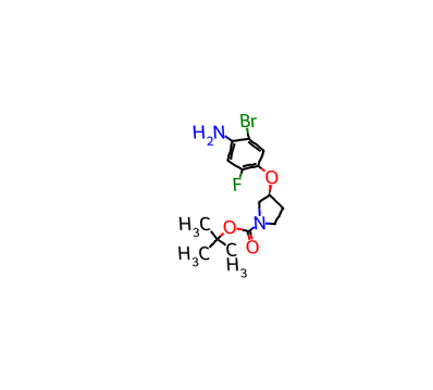 CC(C)(C)OC(=O)N1CC[C@H](Oc2cc(Br)c(N)cc2F)C1